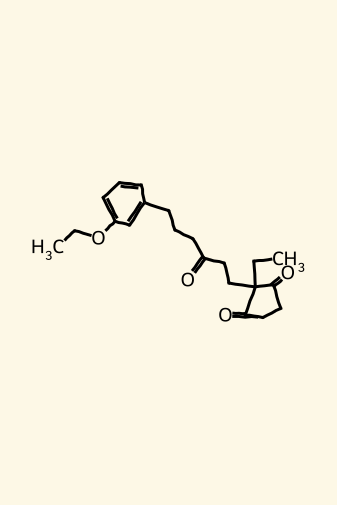 CCOc1cccc(CCCC(=O)CCC2(CC)C(=O)CCC2=O)c1